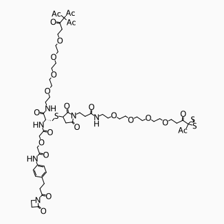 CC(=O)C1(C(=O)CCOCCOCCOCCOCCNC(=O)CCN2C(=O)CC(SC[C@H](NC(=O)COCC(=O)Nc3ccc(CCC(=O)N4CCC4=O)cc3)C(=O)NCCOCCOCCOCCOCCC(=O)C(C(C)=O)(C(C)=O)C(C)=O)C2=O)SS1